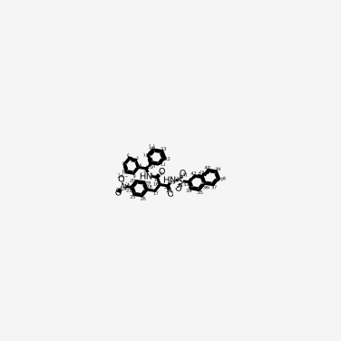 O=C(NC(c1ccccc1)c1ccccc1)C(Cc1ccc([N+](=O)[O-])cc1)C(=O)NS(=O)(=O)c1ccc2ccccc2c1